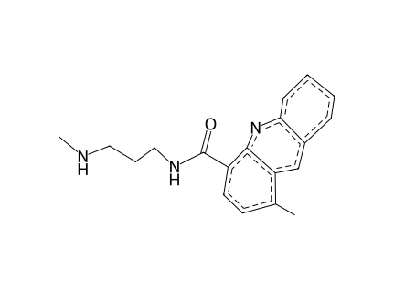 CNCCCNC(=O)c1ccc(C)c2cc3ccccc3nc12